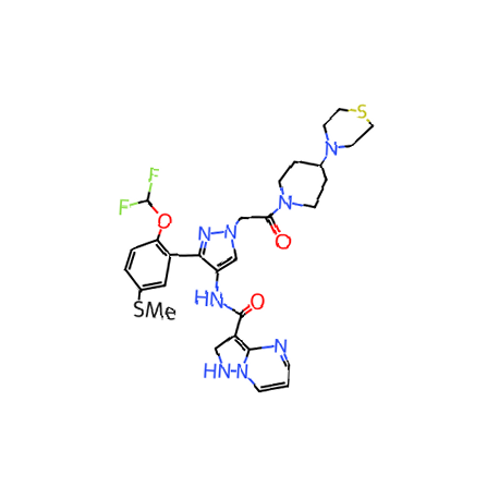 CSc1ccc(OC(F)F)c(-c2nn(CC(=O)N3CCC(N4CCSCC4)CC3)cc2NC(=O)C2=C3N=CC=CN3NC2)c1